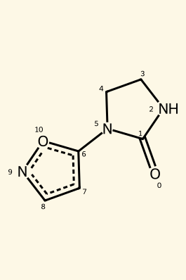 O=C1NCCN1c1ccno1